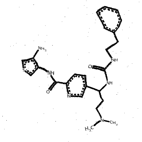 CN(C)CCC(NC(=O)NCCc1ccccc1)c1ccc(C(=O)Nc2cscc2N)nc1